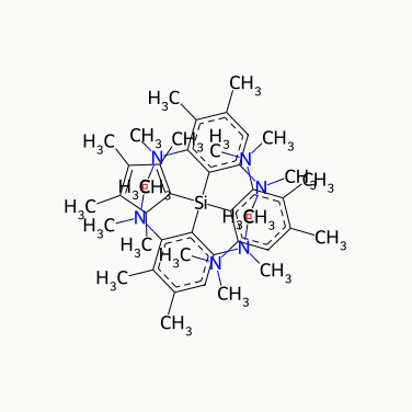 CC1=C(C)C(C)C([Si](c2c(N(C)C)cc(C)c(C)c2N(C)C)(c2c(N(C)C)cc(C)c(C)c2N(C)C)c2c(N(C)C)cc(C)c(C)c2N(C)C)=C1C